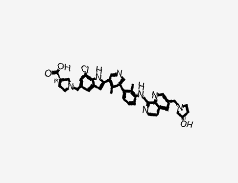 Cc1c(Nc2nccc3cc(CN4CC[C@@H](O)C4)cnc23)cccc1-c1cncc(-c2cc3cc(CN4CC[C@@H](C(=O)O)C4)cc(Cl)c3[nH]2)c1C